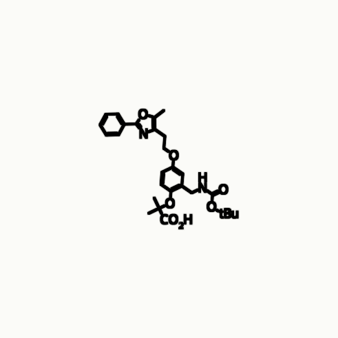 Cc1oc(-c2ccccc2)nc1CCOc1ccc(OC(C)(C)C(=O)O)c(CNC(=O)OC(C)(C)C)c1